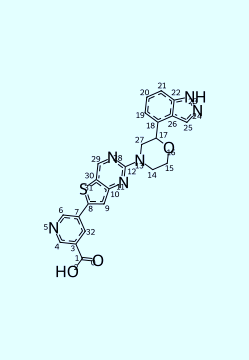 O=C(O)c1cncc(-c2cc3nc(N4CCOC(c5cccc6[nH]ncc56)C4)ncc3s2)c1